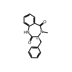 CN1C(=O)c2ccccc2NC(=O)[C@@H]1Cc1ccccc1